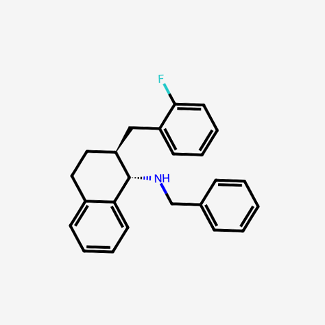 Fc1ccccc1C[C@@H]1CCc2ccccc2[C@H]1NCc1ccccc1